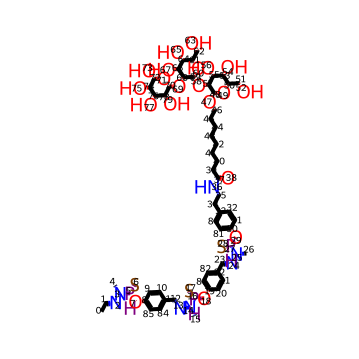 C/C=N/N(C)[PH](=S)Oc1ccc(/C=N/N(C)[PH](=S)Oc2ccc(/C=N/N(C)[PH](=S)Oc3ccc(CCNC(=O)CCCCCCCCOC4OC(CO)C(O)C(O)C4OC4OC(CO)C(O)C(O)C4OC4OC(O)C(O)C(O)C4O)cc3)cc2)cc1